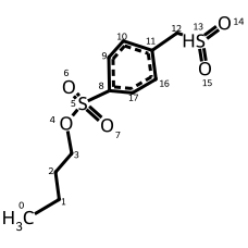 CCCCOS(=O)(=O)c1ccc(C[SH](=O)=O)cc1